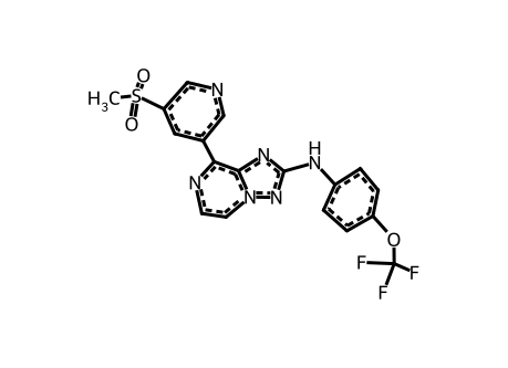 CS(=O)(=O)c1cncc(-c2nccn3nc(Nc4ccc(OC(F)(F)F)cc4)nc23)c1